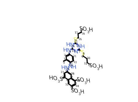 Cc1cc(NC2N=C(SCCCS(=O)(=O)O)NC(SCCCS(=O)(=O)O)N2)ccc1NNc1cc(S(=O)(=O)O)c2cc(S(=O)(=O)O)cc(S(=O)(=O)O)c2c1